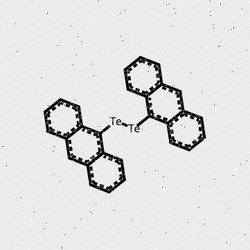 c1ccc2c([Te][Te]c3c4ccccc4cc4ccccc34)c3ccccc3cc2c1